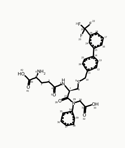 N[C@@H](CCC(=O)N[C@@H](CSCc1ccc(-c2cccc(C(F)(F)F)c2)cc1)C(=O)N(CC(=O)O)c1ccccc1)C(=O)O